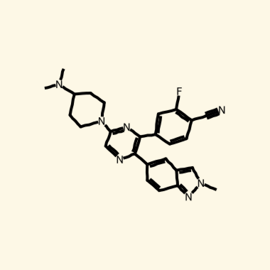 CN(C)C1CCN(c2cnc(-c3ccc4nn(C)cc4c3)c(-c3ccc(C#N)c(F)c3)n2)CC1